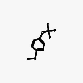 CSc1ccc(OC(F)(F)F)cc1